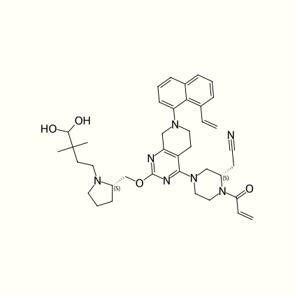 C=CC(=O)N1CCN(c2nc(OC[C@@H]3CCCN3CCC(C)(C)C(O)O)nc3c2CCN(c2cccc4cccc(C=C)c24)C3)C[C@@H]1CC#N